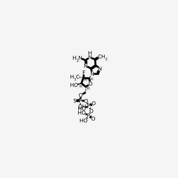 C=C1NC(N)=Nc2c1ncn2[C@@H]1O[C@H](CO[P@](O)(=S)OP(=O)(O)OP(=O)(O)O)[C@@H](O)[C@@]1(C)F